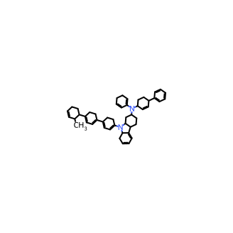 CC1C=CCCC1C1=CC=C(C2=CC=C(N3C4CC=CC=C4C4CCC(N(C5=CCCC=C5)C5C=CC(c6ccccc6)CC5)CC43)CC2)CC1